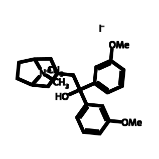 COc1cccc(C(O)(CC2CC3CCC(C2)[N+]3(C)C)c2cccc(OC)c2)c1.[I-]